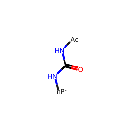 CCCNC(=O)NC(C)=O